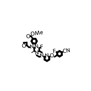 COC(=O)c1ccc2nc([C@H](C)N3CCN(c4cccc(OCc5ccc(C#N)cc5F)n4)CC3CF)n(CC3CCO3)c2c1